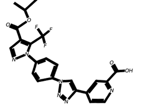 CC(C)OC(=O)c1cnn(-c2ccc(-n3cc(-c4ccnc(C(=O)O)c4)nn3)cc2)c1C(F)(F)F